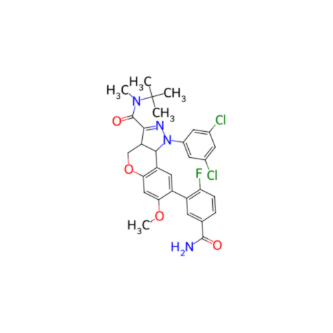 COc1cc2c(cc1-c1cc(C(N)=O)ccc1F)C1C(CO2)C(C(=O)N(C)C(C)(C)C)=NN1c1cc(Cl)cc(Cl)c1